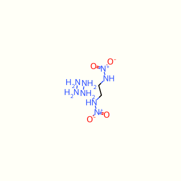 NN.NN.O=[N+]([O-])NCCN[N+](=O)[O-]